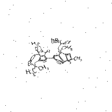 CCCCC(CC)C[Si]1(C)c2cc(C)sc2-c2sc(-c3sc(C(C)(C)CC)c4c3C(=O)N(C)S4(=O)=O)cc21